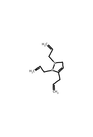 C=CCC1=CCN(CC=C)N1CC=C